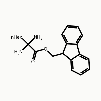 CCCCCCC(N)(N)C(=O)OCC1c2ccccc2-c2ccccc21